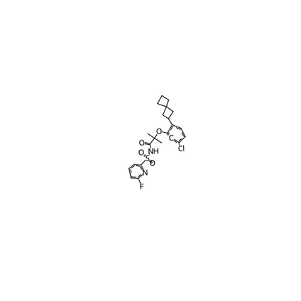 CC(C)(Oc1cc(Cl)ccc1C1CC2(CCC2)C1)C(=O)NS(=O)(=O)c1cccc(F)n1